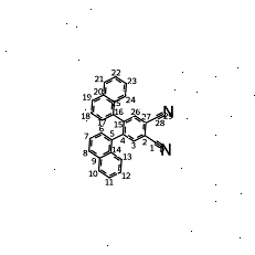 N#Cc1cc(-c2cccc3ccccc23)c(-c2cccc3ccccc23)cc1C#N